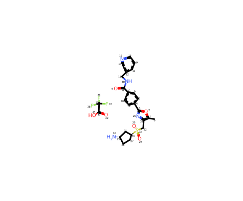 Cc1oc(-c2ccc(C(=O)NCc3cccnc3)cc2)nc1CS(=O)(=O)[C@H]1CC[C@H](N)C1.O=C(O)C(F)(F)F